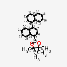 CC1(C)OB(c2ccc(-c3cccc4ccccc34)c3ccccc23)OC1(C)C